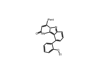 CCCC(C)c1cc(=O)[nH]c2c3c(-c4ccccc4OCC)cccc3nn12